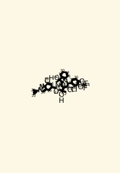 CC(C)(O)c1cc([C@@](O)(CNC(=O)c2cc(Cl)c3nn(C4CC4)cc3c2)c2ccccc2)nc(-c2ccc3c(c2Cl)OC(F)(F)O3)c1Cl